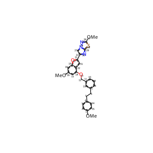 COc1ccc(CCc2cccc(COc3cc(OC)cc4oc(-c5cn6nc(OC)sc6n5)cc34)c2)cc1